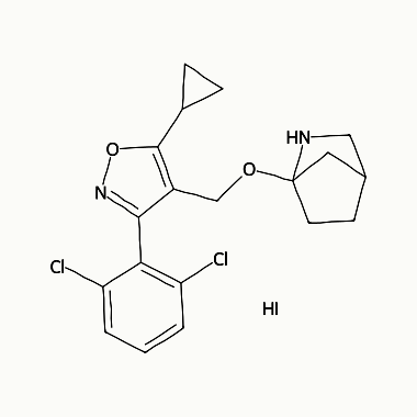 Clc1cccc(Cl)c1-c1noc(C2CC2)c1COC12CCC(CN1)C2.I